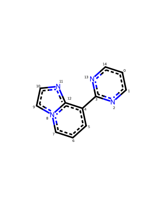 c1cnc(-c2cccn3ccnc23)nc1